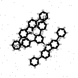 N#Cc1ccc(-c2cc(-n3c4cc(-c5ccccc5)ccc4c4ccc(-c5ccccc5)cc43)cc(-c3ccc(C#N)cc3)c2-n2c3cc(-c4ccccc4)ccc3c3ccc(-c4ccccc4)cc32)cc1